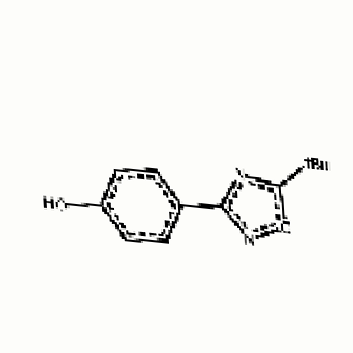 CC(C)(C)c1nc(-c2ccc(O)cc2)no1